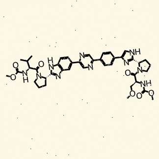 COC[C@H](NC(=O)OC)C(=O)N1CCC[C@H]1c1nc(-c2ccc(-c3cnc(-c4ccc5[nH]c([C@@H]6CCCN6C(=O)[C@@H](NC(=O)OC)C(C)C)nc5c4)cn3)cc2)c[nH]1